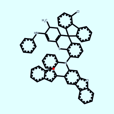 CC1CC2=C(C=C1Nc1ccccc1)Sc1c(N(c3ccccc3)c3cc4oc5ccccc5c4cc3-c3cc4ccccc4s3)cccc1C21c2ccccc2-c2c(Cl)cccc21